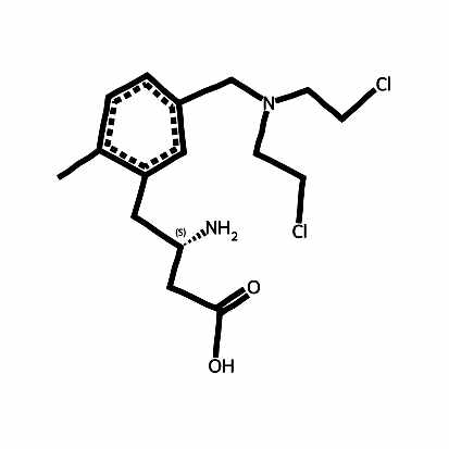 Cc1ccc(CN(CCCl)CCCl)cc1C[C@H](N)CC(=O)O